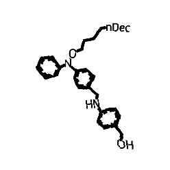 CCCCCCCCCCCCCCON(c1ccccc1)c1ccc(CNc2ccc(CO)cc2)cc1